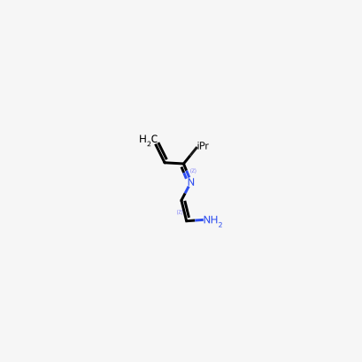 C=C/C(=N\C=C/N)C(C)C